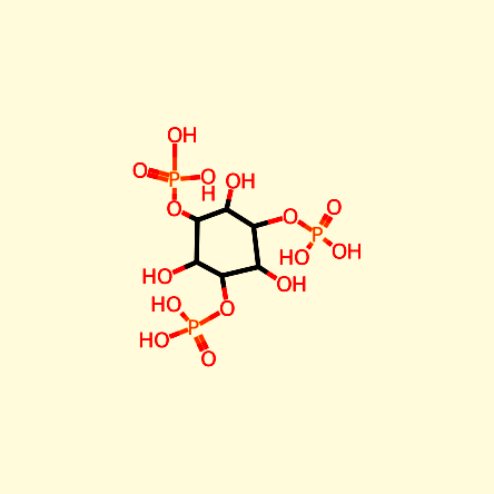 O=P(O)(O)OC1C(O)C(OP(=O)(O)O)C(O)C(OP(=O)(O)O)C1O